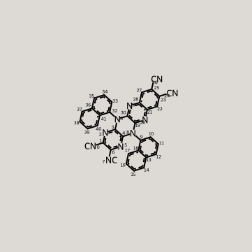 [C-]#[N+]c1nc2c(nc1[N+]#[C-])N(c1cccc3ccccc13)c1nc3cc(C#N)c(C#N)cc3nc1N2c1cccc2ccccc12